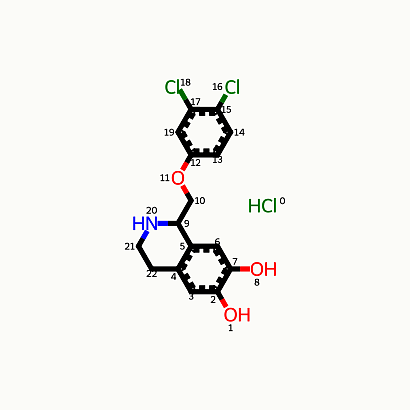 Cl.Oc1cc2c(cc1O)C(COc1ccc(Cl)c(Cl)c1)NCC2